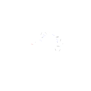 CCOC(=O)C(C)(C)CN1CCCCCCc2ccccc2-c2nc(ccc2C(F)(F)F)NS(=O)(=O)c2cccc1n2